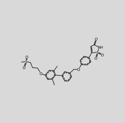 Cc1cc(OCCCS(C)(=O)=O)cc(C)c1-c1cccc(COc2ccc(C3=CC(=O)NS3(=O)=O)cc2)c1